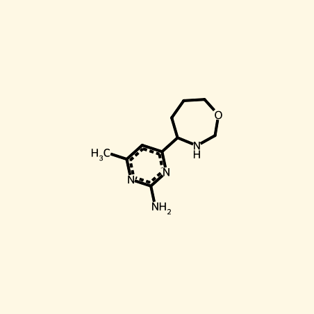 Cc1cc(C2CCCOCN2)nc(N)n1